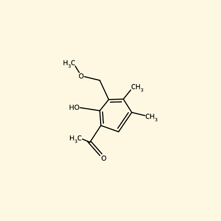 COCc1c(C)c(C)cc(C(C)=O)c1O